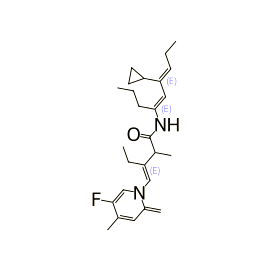 C=C1C=C(C)C(F)=CN1/C=C(\CC)C(C)C(=O)N/C(=C/C(=C/CC)C1CC1)CCC